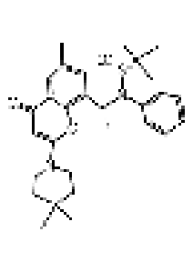 Cc1cc([C@@H](C)N(c2ccccc2)[S@+]([O-])C(C)(C)C)c2oc(N3CCC(C)(C)CC3)cc(=O)c2c1